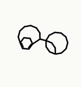 C1=C2CCCCCC[C](C34CCCCCCCC(CC3)CC4)C(=C1)CC2